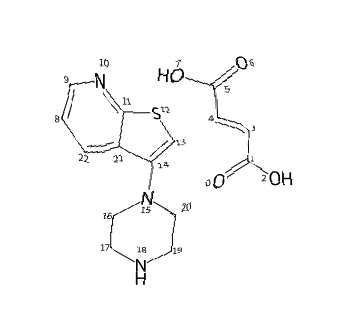 O=C(O)C=CC(=O)O.c1cnc2scc(N3CCNCC3)c2c1